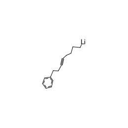 [Li][CH2]CCCC#CCCc1ccccc1